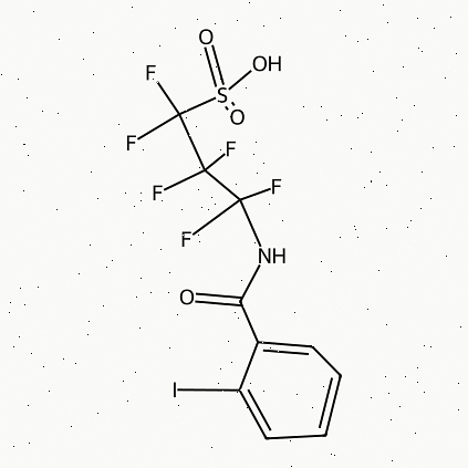 O=C(NC(F)(F)C(F)(F)C(F)(F)S(=O)(=O)O)c1ccccc1I